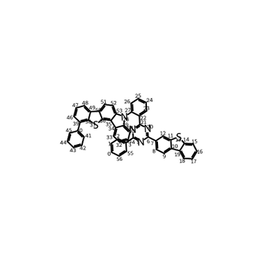 c1ccc(-c2nc(-c3ccc4c(c3)sc3ccccc34)nc(-c3ccccc3-n3c4ccccc4c4c5sc6c(-c7ccccc7)cccc6c5ccc43)n2)cc1